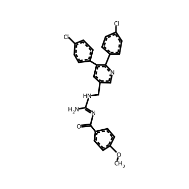 COc1ccc(C(=O)/N=C(\N)NCc2cnc(-c3ccc(Cl)cc3)c(-c3ccc(Cl)cc3)c2)cc1